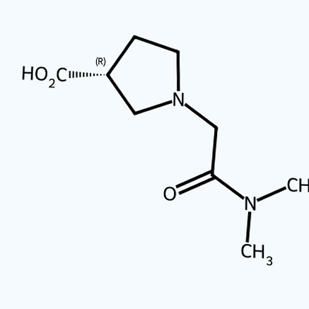 CN(C)C(=O)CN1CC[C@@H](C(=O)O)C1